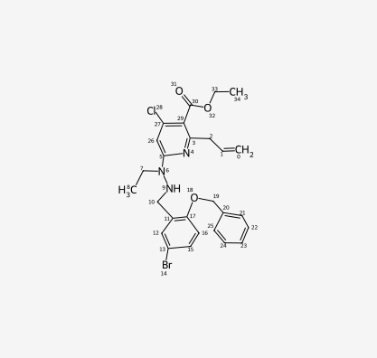 C=CCc1nc(N(CC)NCc2cc(Br)ccc2OCc2ccccc2)cc(Cl)c1C(=O)OCC